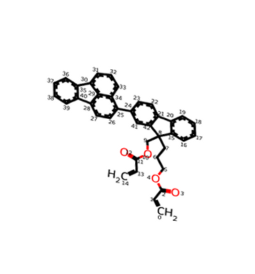 C=CC(=O)OCCCC1(COC(=O)C=C)c2ccccc2-c2ccc(-c3ccc4c5c(cccc35)-c3ccccc3-4)cc21